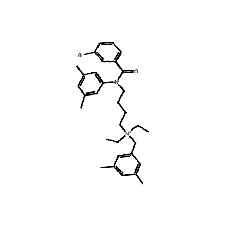 CC[N+](CC)(CCCCN(C(=O)c1cccc(Br)c1)c1cc(C)cc(C)c1)Cc1cc(C)cc(C)c1